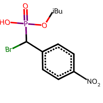 CCC(C)OP(=O)(O)C(Br)c1ccc([N+](=O)[O-])cc1